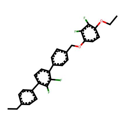 CCOc1ccc(OCc2ccc(-c3ccc(-c4ccc(CC)cc4)c(F)c3F)cc2)c(F)c1F